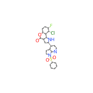 O=c1oc2ccc(F)c(Cl)c2c2[nH]c(-c3ccnc4c3ccn4S(=O)(=O)c3ccccc3)cc12